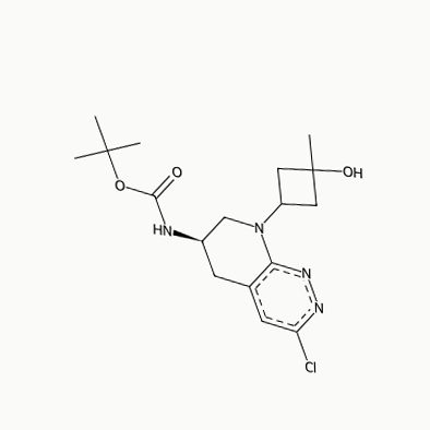 CC1(O)CC(N2C[C@H](NC(=O)OC(C)(C)C)Cc3cc(Cl)nnc32)C1